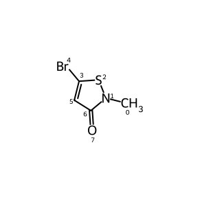 Cn1sc(Br)cc1=O